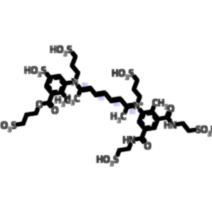 C\C(=C/C=C/C=C/C(C)=[N+](\CCCS(=O)(=O)O)c1cc(C(=O)NCCS(=O)(=O)O)cc(C(=O)NCCS(=O)(=O)O)c1C)N(CCCS(=O)(=O)O)c1cc(S(=O)(=O)O)cc(C(=O)OCCCS(=O)(=O)O)c1C